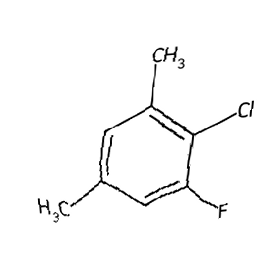 Cc1cc(C)c(Cl)c(F)c1